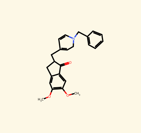 COc1cc2c(cc1OC)C(=O)C(CC1=CCN(Cc3ccccc3)C=C1)C2